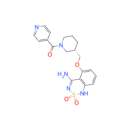 NC1=NS(=O)(=O)Nc2cccc(OC[C@H]3CCCN(C(=O)c4ccncc4)C3)c21